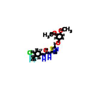 COc1ccc(OCc2nnc(NC(=O)Nc3ccc(Cl)c(C(F)(F)F)c3)s2)cc1OC